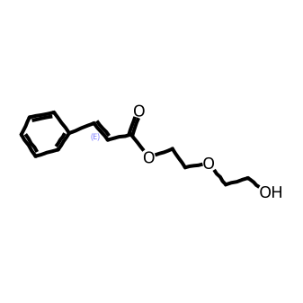 O=C(/C=C/c1ccccc1)OCCOCCO